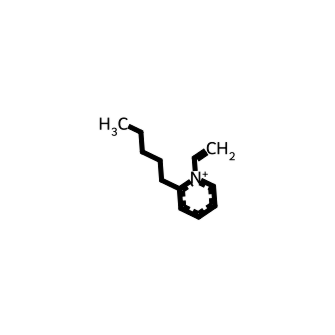 C=C[n+]1ccccc1CCCCC